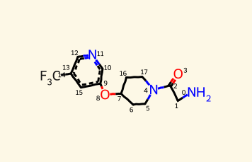 NCC(=O)N1CCC(Oc2cncc(C(F)(F)F)c2)CC1